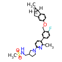 Cc1nc(N2CCC(CNS(C)(=O)=O)C2)ccc1-c1ccc(F)c(COc2ccc3c(c2)C[C@H]2[C@H](C)[C@@H]32)c1